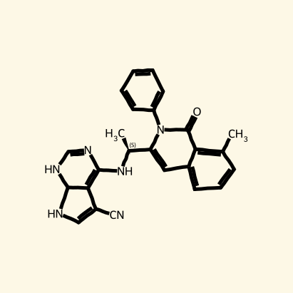 Cc1cccc2cc([C@H](C)NC3=C4C(C#N)=CNC4NC=N3)n(-c3ccccc3)c(=O)c12